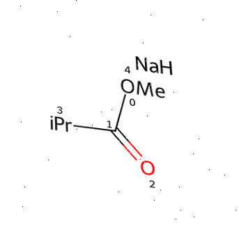 COC(=O)C(C)C.[NaH]